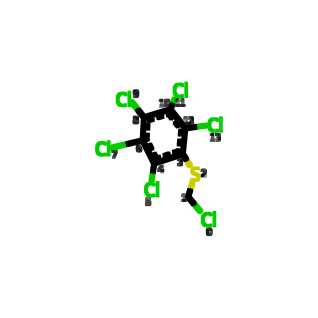 ClCSc1c(Cl)c(Cl)c(Cl)c(Cl)c1Cl